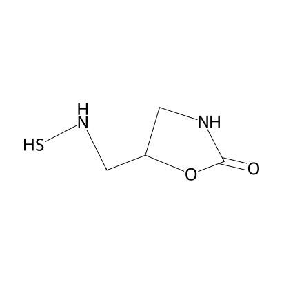 O=C1NCC(CNS)O1